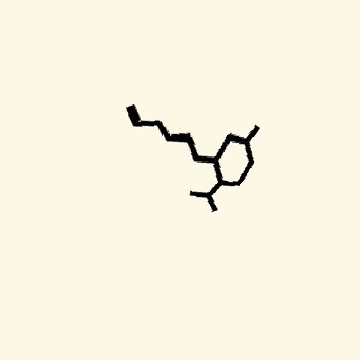 C=CCC=CCC1CC(C)CCC1C(C)C